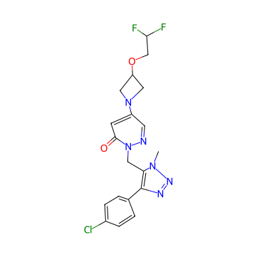 Cn1nnc(-c2ccc(Cl)cc2)c1Cn1ncc(N2CC(OCC(F)F)C2)cc1=O